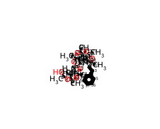 C[Si](C)(O)O[Si](C)(C)O[Si](C)(C)O[Si](C)(C)O[Si](C)(C)O[Si](C)(C)O[Si](C)(C)O[Si](C)(C)CCc1ccccc1